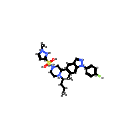 Cc1cc2c(cnn2-c2ccc(F)cc2)cc1C1CN(S(=O)(=O)c2ccn(C)n2)CCN1CCCC(F)(F)F